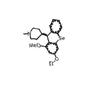 CCOc1cc(OC)c2c(c1)[Se]c1ccccc1C2=C1CCN(C)CC1